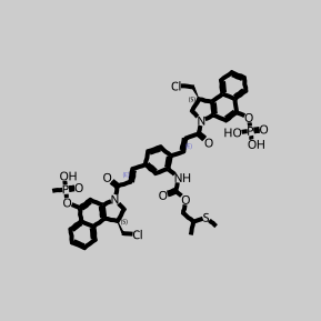 CSC(C)COC(=O)Nc1cc(/C=C/C(=O)N2C[C@@H](CCl)c3c2cc(OP(C)(=O)O)c2ccccc32)ccc1/C=C/C(=O)N1C[C@@H](CCl)c2c1cc(OP(=O)(O)O)c1ccccc21